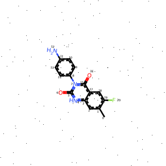 Cc1cc2[nH]c(=O)n(-c3ccc(N)cc3)c(=O)c2cc1F